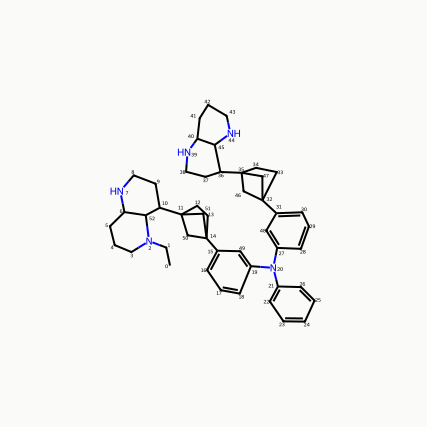 CCN1CCCC2NCCC(C34CCC(c5cccc(N(c6ccccc6)c6cccc(C78CCC(C9CCNC%10CCCNC%109)(C7)C8)c6)c5)(C3)C4)C21